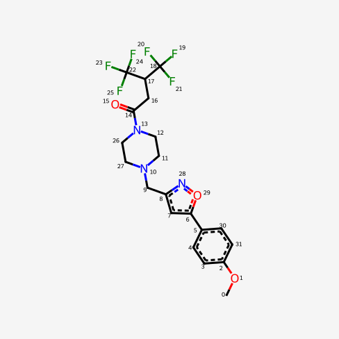 COc1ccc(-c2cc(CN3CCN(C(=O)CC(C(F)(F)F)C(F)(F)F)CC3)no2)cc1